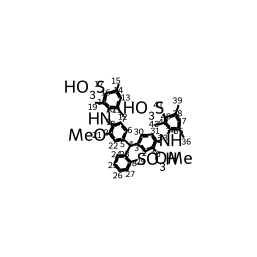 COc1cc(C(c2ccc(Nc3c(C)cc(C)c(S(=O)(=O)O)c3C)c(OC)c2)c2ccccc2S(=O)(=O)O)ccc1Nc1c(C)cc(C)c(S(=O)(=O)O)c1C